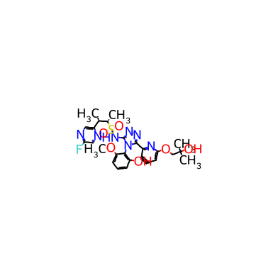 COc1cccc(O)c1-n1c(NS(=O)(=O)[C@@H](C)[C@H](C)c2cnc(F)cn2)nnc1-c1c#ccc(OCC(C)(C)O)n1